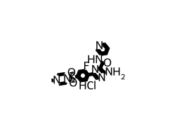 CN1CCN(S(=O)(=O)c2ccc(-c3cnc(N)c(C(=O)Nc4cccnc4)n3)c(F)c2)CC1.Cl